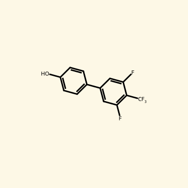 Oc1ccc(-c2cc(F)c(C(F)(F)F)c(F)c2)cc1